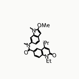 CCn1c(=O)cc(C(C)C)c2cc(C(=O)N(C)c3ccc4cc(OC)n(C)c4c3)ccc21